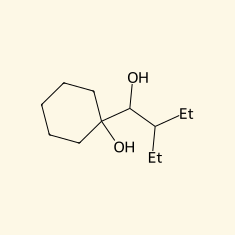 CCC(CC)C(O)C1(O)CCCCC1